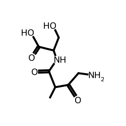 CC(C(=O)CN)C(=O)NC(CO)C(=O)O